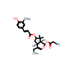 COc1cc(/C=C/C(=O)OC2C[C@H]3C(COC(C)=O)=CO[C@H](OC(=O)CC(C)C)[C@H]3C2(C)C)ccc1O